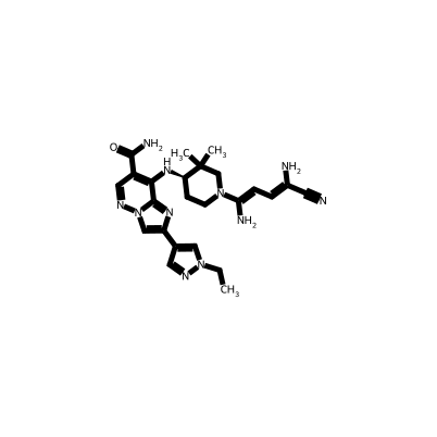 CCn1cc(-c2cn3ncc(C(N)=O)c(N[C@@H]4CCN(/C(N)=C/C=C(\N)C#N)CC4(C)C)c3n2)cn1